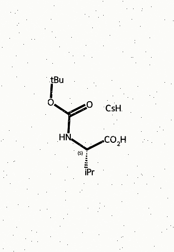 CC(C)[C@H](NC(=O)OC(C)(C)C)C(=O)O.[CsH]